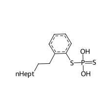 CCCCCCCCCc1ccccc1SP(O)(O)=S